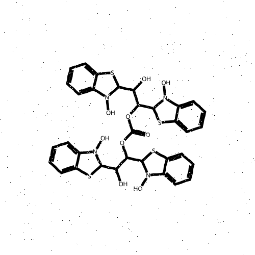 O=C(OC(C(O)C1Sc2ccccc2N1O)C1Sc2ccccc2N1O)OC(C(O)C1Sc2ccccc2N1O)C1Sc2ccccc2N1O